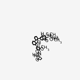 CNC(=O)C(C)N(C)Cc1cnc2cc(-c3cccc(-c4cccc(-c5ccc(CN(C[C@@H]6CCC(=O)N6)C(=O)O)c(OC)n5)c4Cl)c3Cl)ccn2c1=O